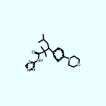 CC(C)CC(c1ccc(N2CCOCC2)cc1)C(C)(C)C(=O)Nc1nncs1